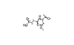 CC(=O)C(CN)NC(=O)CCC(=O)O